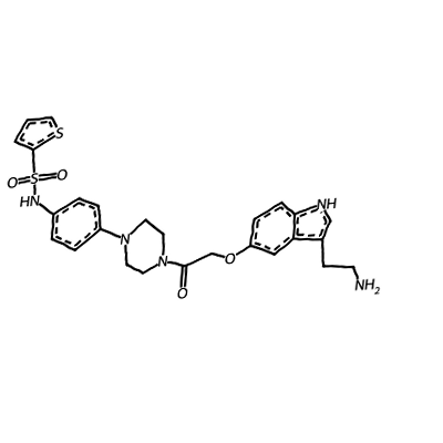 NCCc1c[nH]c2ccc(OCC(=O)N3CCN(c4ccc(NS(=O)(=O)c5cccs5)cc4)CC3)cc12